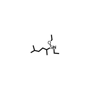 CCO[SiH](OCC)C(C)CCC(C)C